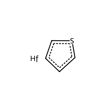 [Hf].c1ccsc1